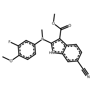 COC(=O)c1c(N(C)c2ccc(OC)c(F)c2)[nH]c2cc(C#N)ccc12